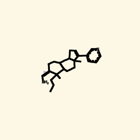 CCCC1(C)/C(=C\N)CCC2C3CC=C(c4cccnc4)C3(C)CCC21